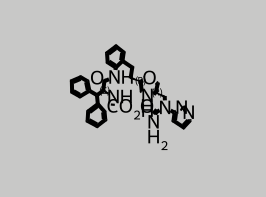 NC(=O)N(C[C@@H]1CO[C@H](CCc2ccccc2NC(=O)[C@@H](NC(=O)O)C(c2ccccc2)c2ccccc2)CN1)c1cccnn1